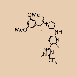 COc1cc(OC)cc([C@@H](C)C(=O)N2CC[C@H](Nc3ccc(-c4nc(C(F)(F)F)n(C)n4)c(C)n3)C2)c1